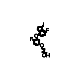 CC(C)(O)CCOc1ccc(F)c(Oc2ccc(F)c3c2CC[C@H]3I)c1